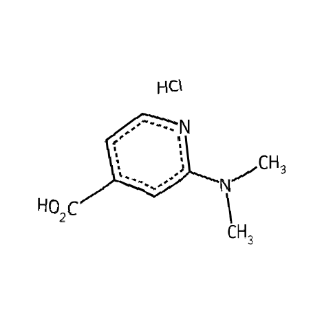 CN(C)c1cc(C(=O)O)ccn1.Cl